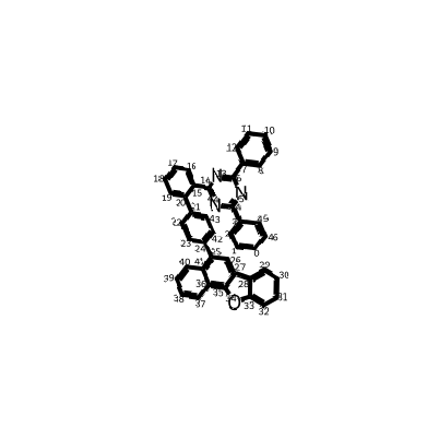 c1ccc(-c2nc(-c3ccccc3)nc(-c3ccccc3-c3ccc(-c4cc5c6ccccc6oc5c5ccccc45)cc3)n2)cc1